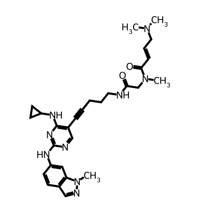 CN(C)C/C=C/C(=O)N(C)CC(=O)NCCCC#Cc1cnc(Nc2ccc3cnn(C)c3c2)nc1NC1CC1